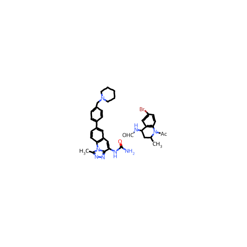 CC(=O)N1c2ccc(Br)cc2C(NC=O)CC1C.Cc1nnc2c(NC(N)=O)cc3cc(-c4ccc(CN5CCCCC5)cc4)ccc3n12